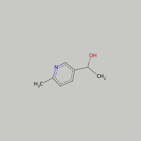 [CH2]C(O)c1ccc(C)nc1